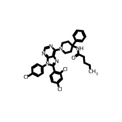 CCCCC(=O)NC1(c2ccccc2)CCN(c2ncnc3c2nc(-c2ccc(Cl)cc2Cl)n3-c2ccc(Cl)cc2)CC1